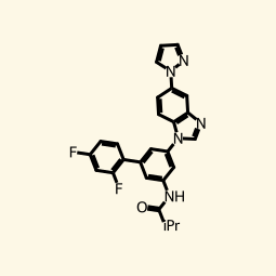 CC(C)C(=O)Nc1cc(-c2ccc(F)cc2F)cc(-n2cnc3cc(-n4cccn4)ccc32)c1